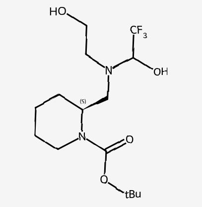 CC(C)(C)OC(=O)N1CCCC[C@H]1CN(CCO)C(O)C(F)(F)F